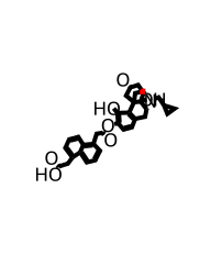 O=C(O)Cc1cccc2c(CC(=O)Oc3ccc4c(c3O)C35CCN(CC6CC6)C(C4)C3(O)CCC(=O)C5)cccc12